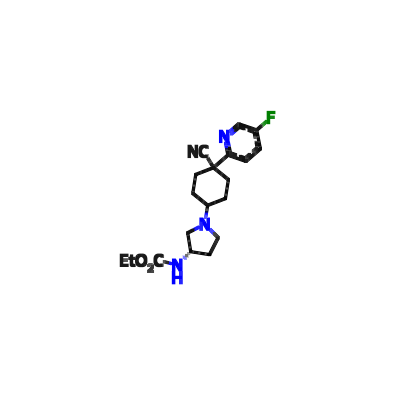 CCOC(=O)N[C@H]1CCN(C2CCC(C#N)(c3ccc(F)cn3)CC2)C1